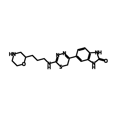 O=c1[nH]c2ccc(C3=NN=C(NCCCC4CNCCO4)SC3)cc2[nH]1